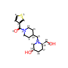 O=C(c1ccsc1)N1CCC(CN2C[C@H](O)CC[C@@H]2CO)CC1